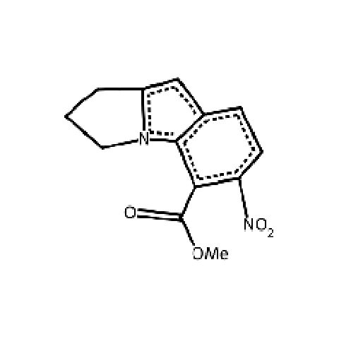 COC(=O)c1c([N+](=O)[O-])ccc2cc3n(c12)CCC3